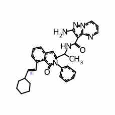 CC(NC(=O)c1c(N)nn2cccnc12)c1cc2cccc(/C=C/C3CCCCC3)c2c(=O)n1-c1ccccc1